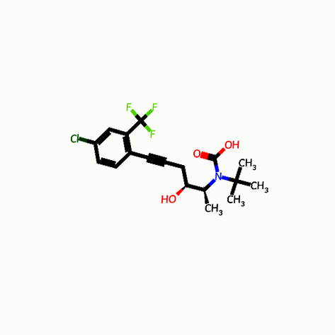 C[C@@H]([C@@H](O)CC#Cc1ccc(Cl)cc1C(F)(F)F)N(C(=O)O)C(C)(C)C